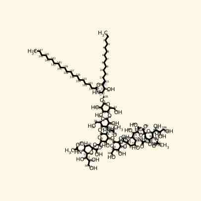 CCCCCCCCCCCCC/C=C/[C@@H](O)[C@H](CO[C@@H]1OC(CO)[C@@H](O[C@@H]2OC(CO)[C@H](O[C@@H]3OC(CO[C@]4(C(=O)O)CC(O)[C@@H](NC(C)=O)C([C@H](O)[C@H](O)CO)O4)[C@H](O)[C@H](O[C@@H]4OC(CO)[C@H](O)[C@H](O[C@]5(C(=O)O)CC(O)[C@@H](NC(C)=O)C([C@H](O)[C@@H](CO)O[C@]6(C(=O)O)CC(O)[C@@H](NC(C)=O)C([C@H](O)[C@H](O)CO)O6)O5)C4O)C3NC(C)=O)[C@H](O)C2O)[C@H](O)C1O)NC(=O)CCCCCCCCCCCCCCCCCCC